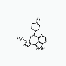 CC(C)N1CCC(N2Cc3c(cnn3C)-c3n[nH]c4ccnc2c34)CC1